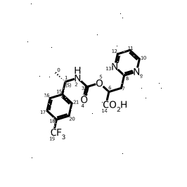 C[C@H](NC(=O)OC(Cc1ncccn1)C(=O)O)c1ccc(C(F)(F)F)cc1